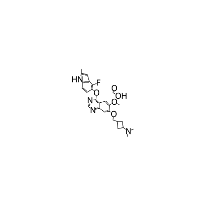 COc1cc2c(Oc3ccc4[nH]c(C)cc4c3F)ncnc2cc1OCC1CC(N(C)C)C1.O=CO